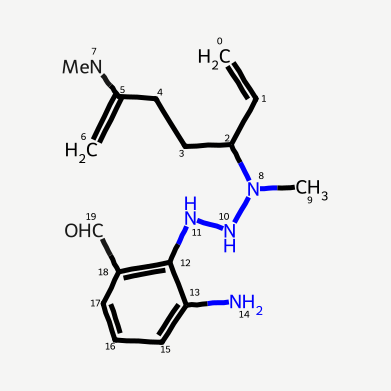 C=CC(CCC(=C)NC)N(C)NNc1c(N)cccc1C=O